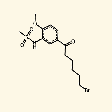 COc1ccc(C(=O)CCCCCBr)cc1NS(C)(=O)=O